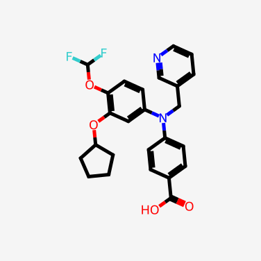 O=C(O)c1ccc(N(Cc2cccnc2)c2ccc(OC(F)F)c(OC3CCCC3)c2)cc1